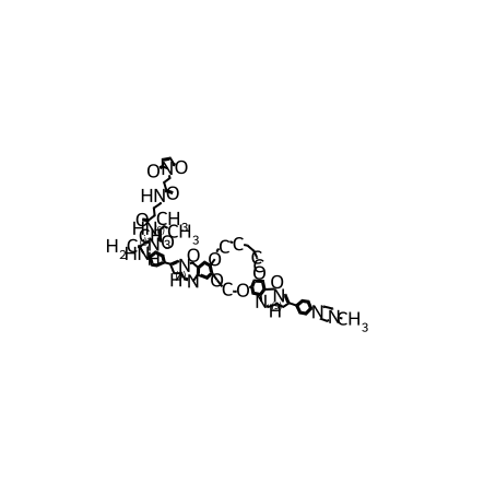 C=C(Nc1ccc(C2=CN3C(=O)c4cc5c(cc4N=C[C@@H]3C2)OCCCOc2cc3c(cc2OCCCCCCCCO5)C(=O)N2C=C(c4ccc(N5CCN(C)CC5)cc4)C[C@H]2C=N3)cc1)[C@H](C)NC(=O)[C@@H](NC(=O)CCCNC(=O)CCN1C(=O)C=CC1=O)C(C)C